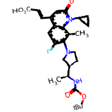 Cc1c(N2CC[C@@H]([C@H](C)NC(=O)OC(C)(C)C)C2)c(F)cc2c(/C=C/C(=O)O)cc(=O)n(C3CC3)c12